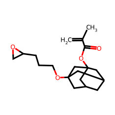 C=C(C)C(=O)OC12CC3CC(CC(OCCCC4CO4)(C3)C1)C2